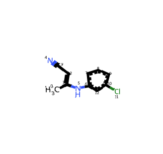 CC(=CC#N)Nc1cccc(Cl)c1